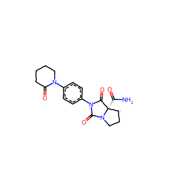 NC(=O)[C@]12[CH]CCN1C(=O)N(c1ccc(N3CCCCC3=O)cc1)C2=O